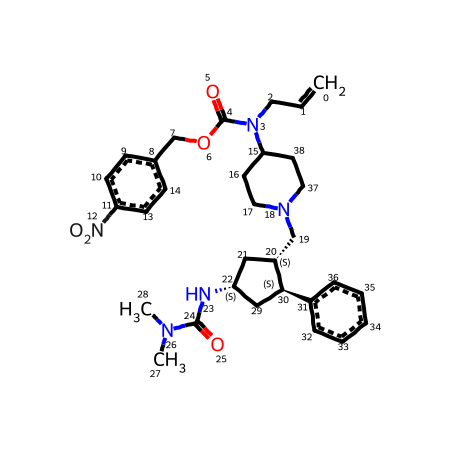 C=CCN(C(=O)OCc1ccc([N+](=O)[O-])cc1)C1CCN(C[C@H]2C[C@@H](NC(=O)N(C)C)C[C@@H]2c2ccccc2)CC1